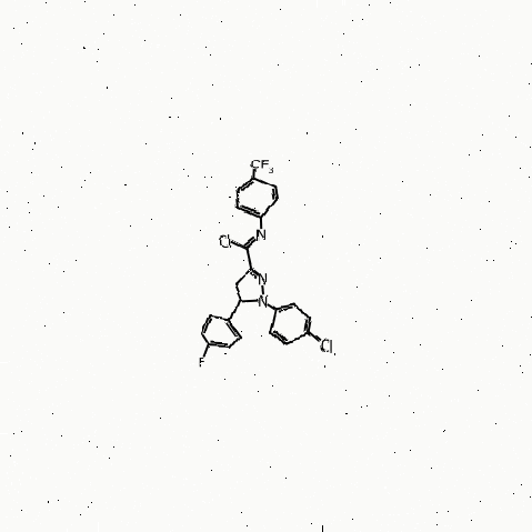 Fc1ccc(C2CC(C(Cl)=Nc3ccc(C(F)(F)F)cc3)=NN2c2ccc(Cl)cc2)cc1